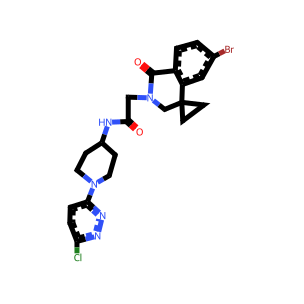 O=C(CN1CC2(CC2)c2cc(Br)ccc2C1=O)NC1CCN(c2ccc(Cl)nn2)CC1